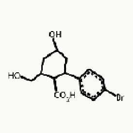 O=C(O)C1C(CO)CC(O)CC1c1ccc(Br)cc1